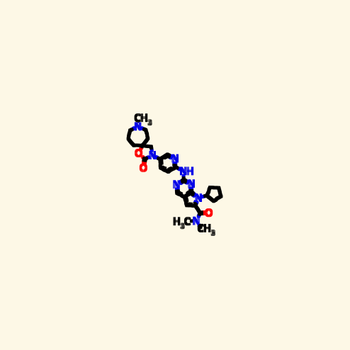 CN1CCCC2(CC1)CN(c1ccc(Nc3ncc4cc(C(=O)N(C)C)n(C5CCCC5)c4n3)nc1)C(=O)O2